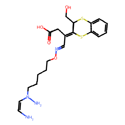 N/C=C\N(N)CCCCCO/N=C/C(CC(=O)O)=C1\Sc2ccccc2SC1CO